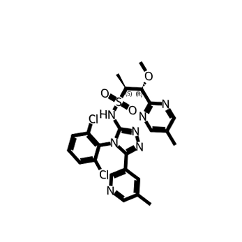 CO[C@H](c1ncc(C)cn1)[C@H](C)S(=O)(=O)Nc1nnc(-c2cncc(C)c2)n1-c1c(Cl)cccc1Cl